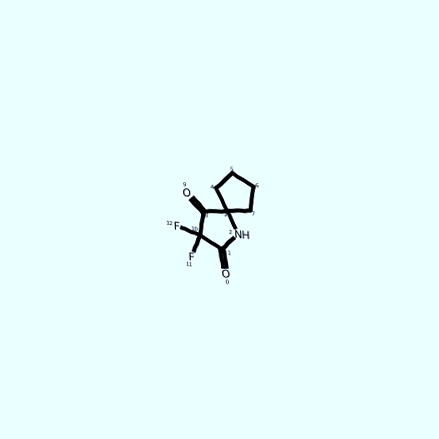 O=C1NC2(CCCC2)C(=O)C1(F)F